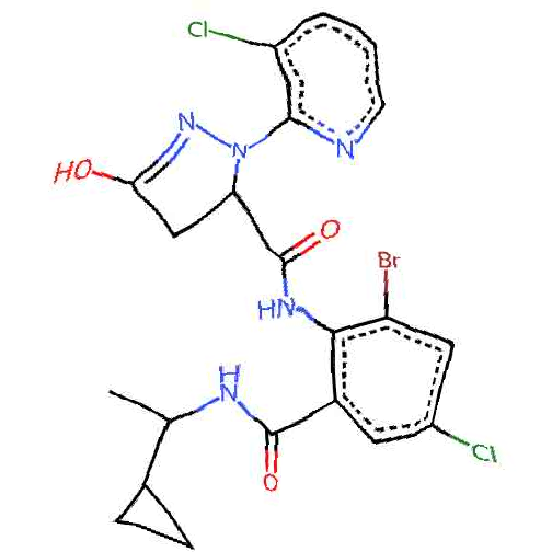 CC(NC(=O)c1cc(Cl)cc(Br)c1NC(=O)C1CC(O)=NN1c1ncccc1Cl)C1CC1